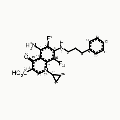 Nc1c(F)c(NCCCc2ccccc2)c(F)c2c1c(=O)c(C(=O)O)cn2C1CC1